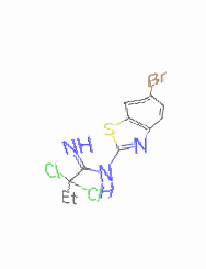 CCC(Cl)(Cl)C(=N)Nc1nc2ccc(Br)cc2s1